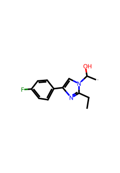 [CH2]C(O)n1cc(-c2ccc(F)cc2)nc1CC